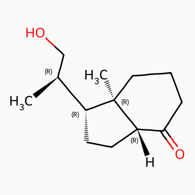 C[C@@H](CO)[C@H]1CC[C@H]2C(=O)CCC[C@]12C